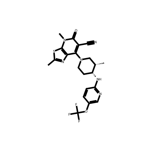 Cc1nc2c(N3CC[C@@H](Nc4ccc(OC(F)(F)F)cn4)[C@@H](C)C3)c(C#N)c(=O)n(C)c2s1